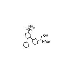 CNC(CO)c1cccc(-c2cc(S(N)(=O)=O)ccc2-c2ccccc2)c1